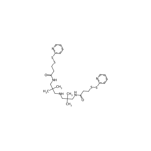 CC(C)(CNCC(C)(C)CNC(=O)CCSSc1ccccn1)CNC(=O)CCSSc1ccccn1